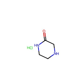 Cl.O=C1CNCCN1